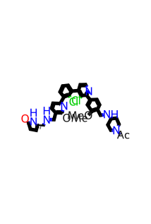 COc1cc(-c2nccc(-c3cccc(-c4ccc(CNC[C@H]5CCC(=O)N5)c(OC)n4)c3Cl)c2Cl)ccc1CNC1CCN(C(C)=O)CC1